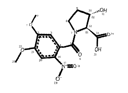 COc1cc(C(=O)N2CC[C@H](O)[C@H]2C(=O)O)c([N+](=O)[O-])cc1OC